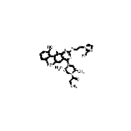 C=CC(=O)N1C[C@H](C)N(c2nc(OCCn3ccnc3CC)nc3c(F)c(-c4c(O)cccc4F)c(Cl)cc23)C[C@H]1C